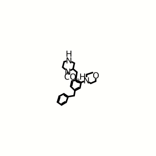 O=C(O)N1CCNCC1Cc1ccc(Cc2ccccc2)cc1N1CCOCC1